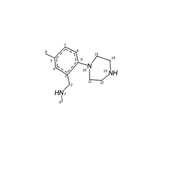 CNCc1cc(C)ccc1N1CCNCC1